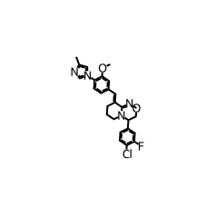 COc1cc(/C=C2\CCCN3C2=NOCC3c2ccc(Cl)c(F)c2)ccc1-n1cnc(C)c1